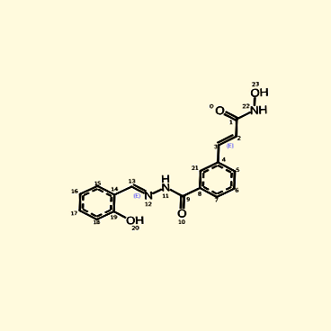 O=C(/C=C/c1cccc(C(=O)N/N=C/c2ccccc2O)c1)NO